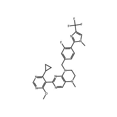 COc1ncnc(C2CC2)c1-c1ncc2c(n1)N(Cc1ccc(-c3nc(C(F)(F)F)cn3C)c(F)c1)CCN2C